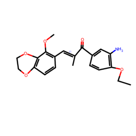 CCOc1ccc(C(=O)/C(C)=C/c2ccc3c(c2OC)OCCO3)cc1N